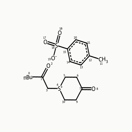 CCCCC(=O)C[S+]1CCC(=O)CC1.Cc1ccc(S(=O)(=O)[O-])cc1